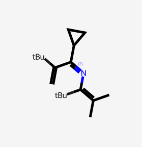 C=C(/C(=N\C(=C(C)C)C(C)(C)C)C1CC1)C(C)(C)C